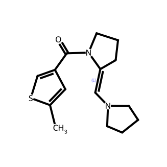 Cc1cc(C(=O)N2CCC/C2=C\N2CCCC2)cs1